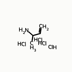 C=CC(C)N.Cl.Cl.Cl.Cl